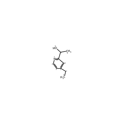 CCc1ccnc(C(C)O)c1